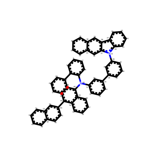 c1ccc(-c2ccccc2N(c2cccc(-c3cccc(-n4c5ccccc5c5cc6ccccc6cc54)c3)c2)c2ccc(-c3ccc4ccccc4c3)c3ccccc23)cc1